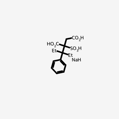 CCC(CC)(c1ccccc1)C(CC(=O)O)(C(=O)O)S(=O)(=O)O.[NaH]